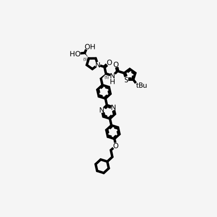 CC(C)(C)c1ccc(C(=O)N[C@@H](Cc2ccc(-c3ncc(-c4ccc(OCCC5CCCCC5)cc4)cn3)cc2)C(=O)N2CC[C@H](C(O)O)C2)s1